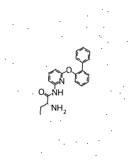 CC[C@@H](N)C(=O)Nc1cccc(Oc2ccccc2-c2ccccc2)n1